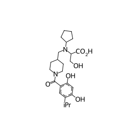 CC(C)c1cc(C(=O)N2CCC(CN(C3CCCC3)C(CO)C(=O)O)CC2)c(O)cc1O